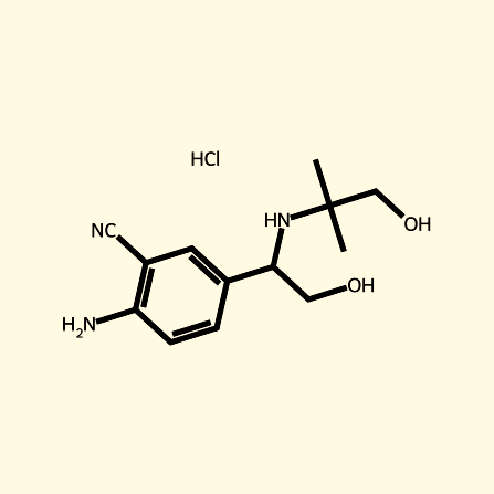 CC(C)(CO)NC(CO)c1ccc(N)c(C#N)c1.Cl